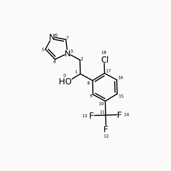 OC(Cn1ccnc1)c1cc(C(F)(F)F)ccc1Cl